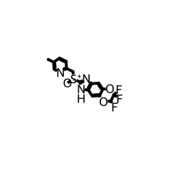 Cc1ccc(C[S+]([O-])c2nc3cc4c(cc3[nH]2)OC(F)C(F)(F)O4)nc1